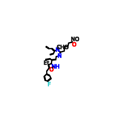 C=C/C=C(\C=C)N(C=O)/C(CCCCC(=O)N=O)=N\C/C=C(\C=C/CC)C1C=C(Cc2ccc(F)cc2)ON1